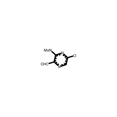 CNc1nc(Cl)cnc1C=O